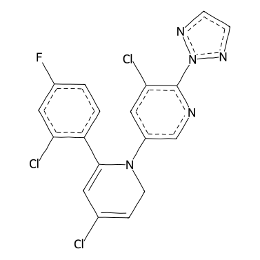 Fc1ccc(C2=CC(Cl)=CCN2c2cnc(-n3nccn3)c(Cl)c2)c(Cl)c1